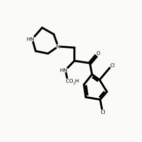 O=C(O)NC(CN1CCNCC1)C(=O)c1ccc(Cl)cc1Cl